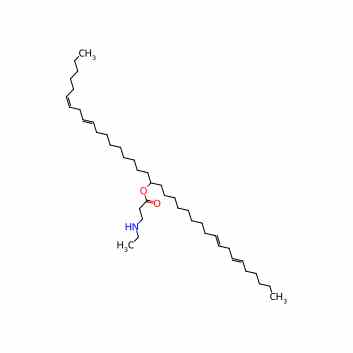 CCCCCC=CCC=CCCCCCCCCC(CCCCCCCCC=CC/C=C\CCCCC)OC(=O)CCNCC